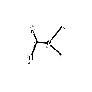 [3H]C([3H])N(C)C